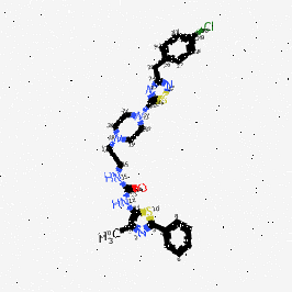 Cc1nc(-c2ccccc2)sc1NC(=O)NCCN1CCN(c2nc(Cc3ccc(Cl)cc3)ns2)CC1